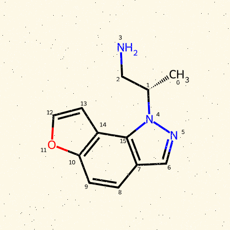 C[C@@H](CN)n1ncc2ccc3occc3c21